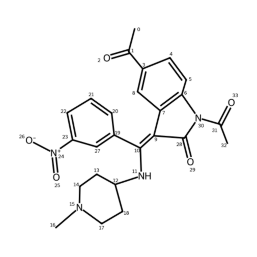 CC(=O)c1ccc2c(c1)/C(=C(/NC1CCN(C)CC1)c1cccc([N+](=O)[O-])c1)C(=O)N2C(C)=O